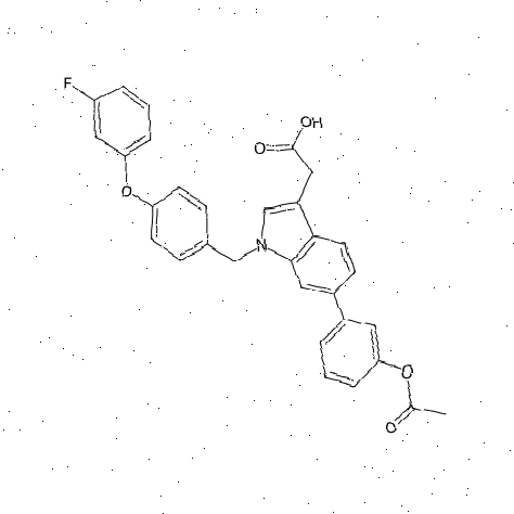 CC(=O)Oc1cccc(-c2ccc3c(CC(=O)O)cn(Cc4ccc(Oc5cccc(F)c5)cc4)c3c2)c1